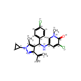 C=C(CCC)c1nn(C2CC2)c(C)c1C(Nc1cc(Cl)c(=O)n(C)c1)c1ccc(Cl)cc1